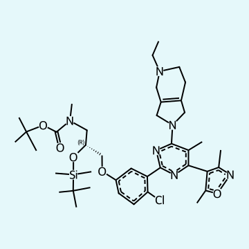 CCN1CCC2=C(C1)CN(c1nc(-c3cc(OC[C@@H](CN(C)C(=O)OC(C)(C)C)O[Si](C)(C)C(C)(C)C)ccc3Cl)nc(-c3c(C)noc3C)c1C)C2